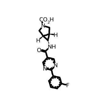 O=C(N[C@@H]1[C@@H]2CN(C(=O)O)C[C@@H]21)c1cnc(-c2cccc(F)c2)nc1